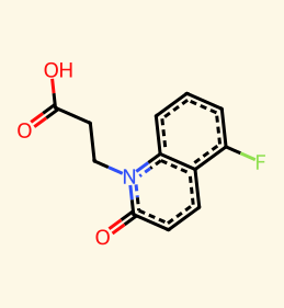 O=C(O)CCn1c(=O)ccc2c(F)cccc21